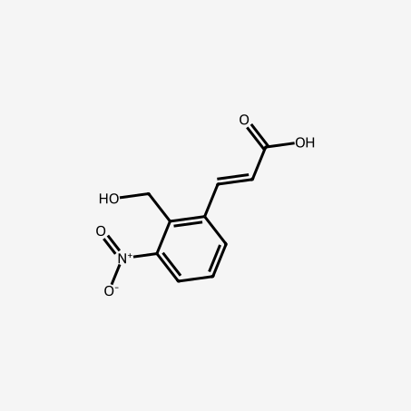 O=C(O)C=Cc1cccc([N+](=O)[O-])c1CO